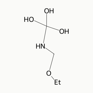 CCOCNC(O)(O)O